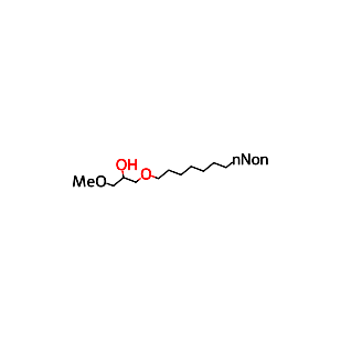 CCCCCCCCCCCCCCCCOCC(O)COC